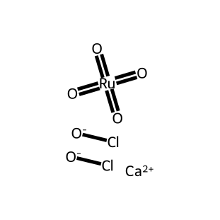 [Ca+2].[O-]Cl.[O-]Cl.[O]=[Ru](=[O])(=[O])=[O]